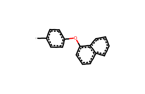 [CH]c1ccc(Oc2cccc3ccccc23)cc1